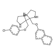 Clc1ccc(OCC2(C3(COc4ccc5ccccc5c4)NCCN3)NCCN2)cc1